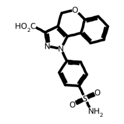 NS(=O)(=O)c1ccc(-n2nc(C(=O)O)c3c2-c2ccccc2OC3)cc1